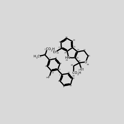 CC(C(=O)O)c1ccc(-c2ccccc2)c(F)c1.CCc1cccc2c3c([nH]c12)C(CC)(CC(=O)O)OCC3